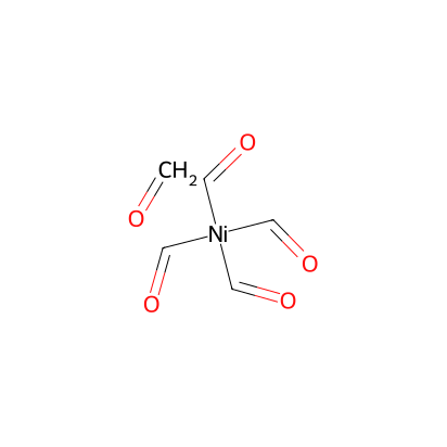 C=O.O=[CH][Ni]([CH]=O)([CH]=O)[CH]=O